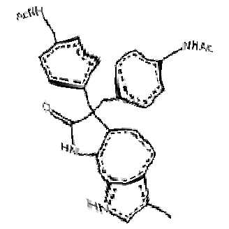 CC(=O)Nc1ccc(C2(c3ccc(NC(C)=O)cc3)C(=O)Nc3c2ccc2c(C)c[nH]c32)cc1